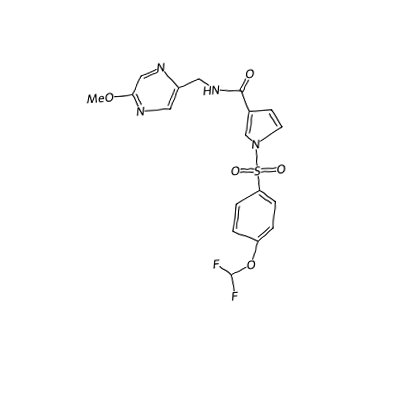 COc1cnc(CNC(=O)c2ccn(S(=O)(=O)c3ccc(OC(F)F)cc3)c2)cn1